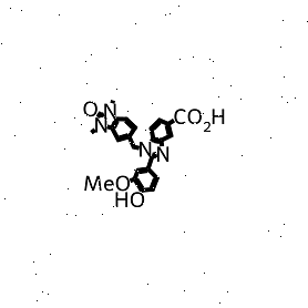 COc1cc(-c2nc3cc(C(=O)O)ccc3n2Cc2ccc3c(c2)n(C)c(=O)n3C)ccc1O